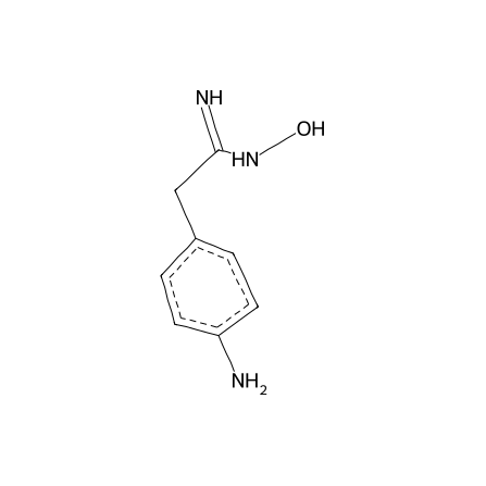 N=C(Cc1ccc(N)cc1)NO